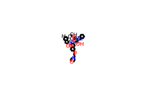 CC(C)(C)OC(=O)N[C@@H](Cc1ccccc1)[C@@H](O)C[C@@H](Cc1cccc(OCCN2CCOCC2)c1)C(=O)N[C@H]1c2ccccc2C[C@H]1O